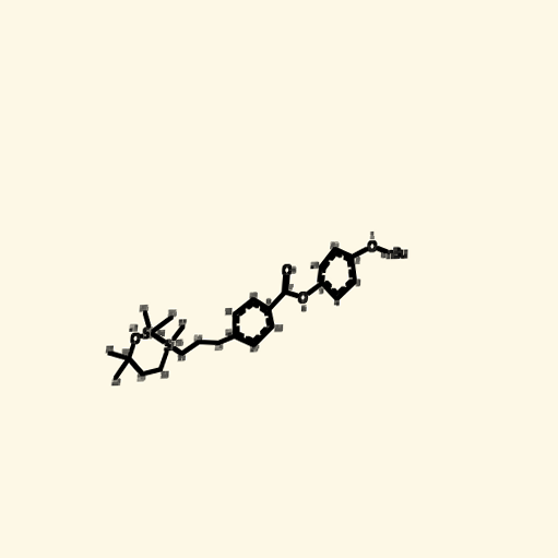 CCCCOc1ccc(OC(=O)c2ccc(CCC[Si]3(C)CCC(C)(C)O[Si]3(C)C)cc2)cc1